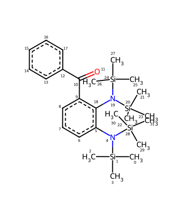 C[Si](C)(C)N(c1cccc(C(=O)c2ccccc2)c1N([Si](C)(C)C)[Si](C)(C)C)[Si](C)(C)C